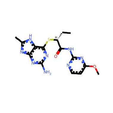 CC[C@@H](Sc1nc(N)nc2nc(C)[nH]c12)C(=O)Nc1nccc(OC)n1